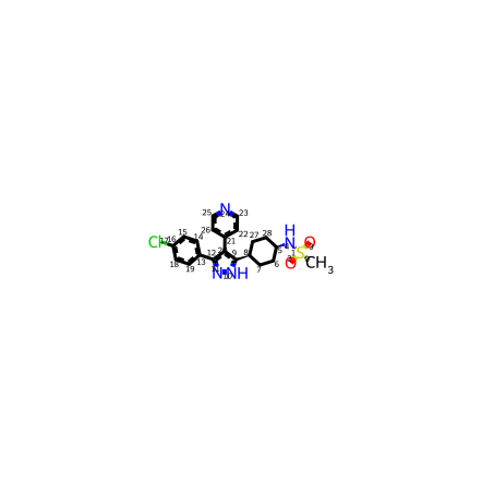 CS(=O)(=O)N[C@H]1CC[C@@H](c2[nH]nc(-c3ccc(Cl)cc3)c2-c2ccncc2)CC1